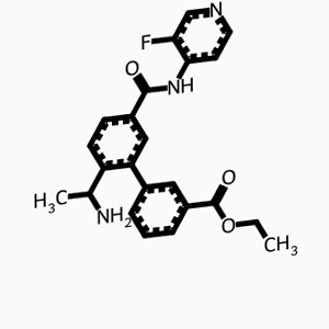 CCOC(=O)c1cccc(-c2cc(C(=O)Nc3ccncc3F)ccc2C(C)N)c1